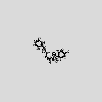 Cc1ccc(S(=O)(=O)N2CC2CCOCc2ccccc2)cc1